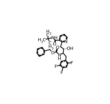 CC(C)(C)NC(=O)c1cccnc1C[C@H](O)C(Cc1cc(F)c(F)cc1F)NC(=O)OCc1ccccc1